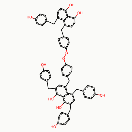 Oc1ccc(Cc2cc(Cc3ccc(O)cc3)c3c(Cc4ccc(OOc5ccc(Cc6ccc(O)c7c(O)ccc(Cc8ccc(O)cc8)c67)cc5)cc4)cc(Cc4ccc(O)cc4)c(O)c3c2O)cc1